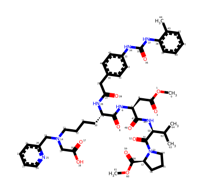 COC(=O)C[C@H](NC(=O)[C@H](CCCCN(CC(=O)O)Cc1ccccn1)NC(=O)Cc1ccc(NC(=O)Nc2ccccc2C)cc1)C(=O)N[C@H](C(=O)N1CCC[C@H]1C(=O)OC)C(C)C